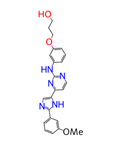 COc1cccc(-c2ncc(-c3ccnc(Nc4cccc(OCCCO)c4)n3)[nH]2)c1